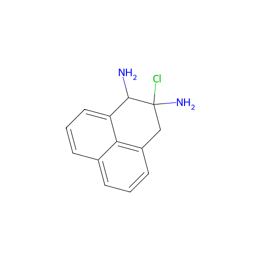 NC1c2cccc3cccc(c23)CC1(N)Cl